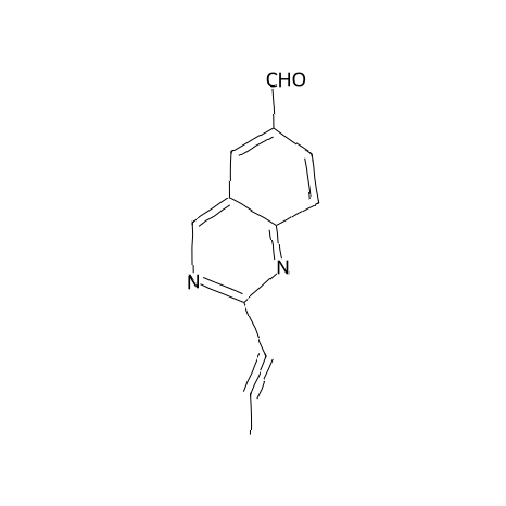 CC#Cc1ncc2cc(C=O)ccc2n1